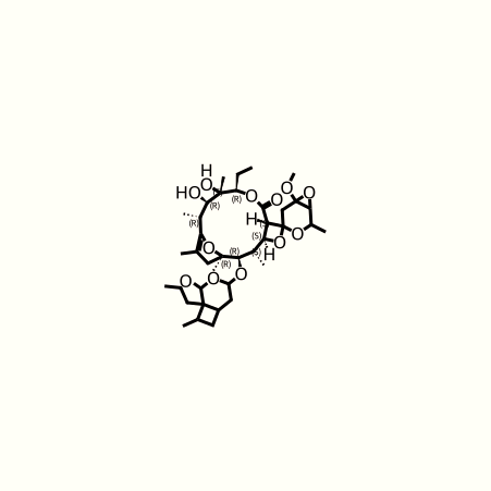 CC[C@H]1OC(=O)[C@H]2[C@@H](OC23CC2(OC)OC2C(C)O3)[C@H](C)[C@@H](OC2CC3CC(C)C3(CC(C)=O)C(C)O2)[C@@]2(C)CC(C)=C(O2)[C@H](C)[C@@H](O)[C@]1(C)O